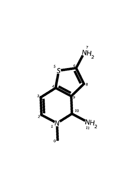 CN1C=Cc2sc(N)cc2C1N